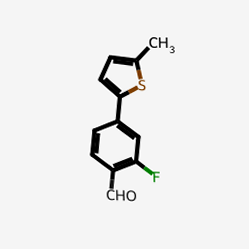 Cc1ccc(-c2ccc(C=O)c(F)c2)s1